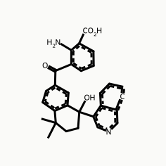 CC1(C)CCC(O)(c2cncc3ccccc23)c2cc(C(=O)c3cccc(C(=O)O)c3N)ccc21